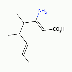 CC=CC(C)C(C)C(N)=CC(=O)O